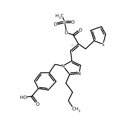 CCCCc1ncc(/C=C(\Cc2cccs2)C(=O)OS(C)(=O)=O)n1Cc1ccc(C(=O)O)cc1